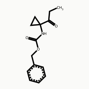 CCC(=O)C1(NC(=O)OCc2ccccc2)CC1